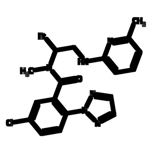 CCC(CNc1cccc(C)n1)N(C)C(=O)c1cc(Cl)ccc1-n1nccn1